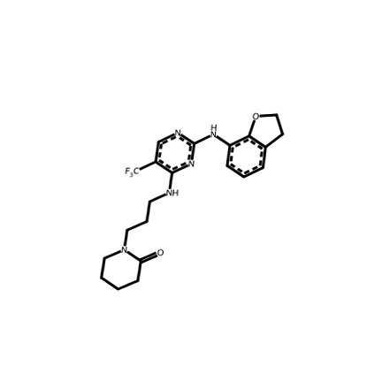 O=C1CCCCN1CCCNc1nc(Nc2cccc3c2OCC3)ncc1C(F)(F)F